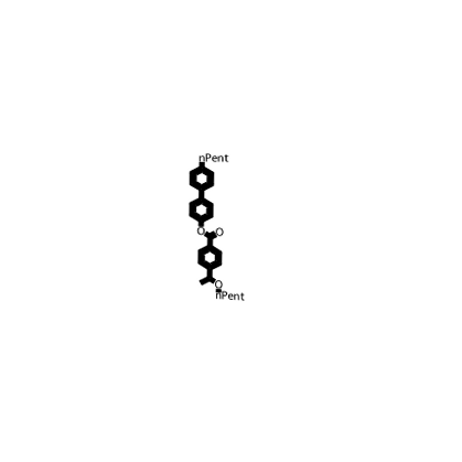 CCCCCOC(C)c1ccc(C(=O)Oc2ccc(-c3ccc(CCCCC)cc3)cc2)cc1